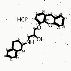 Cl.OC(CNC1CCc2ccccc2C1)COc1cccc2c1Oc1ccccc1C2